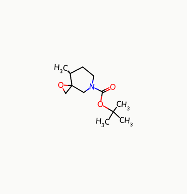 C[C@H]1CCN(C(=O)OC(C)(C)C)CC12CO2